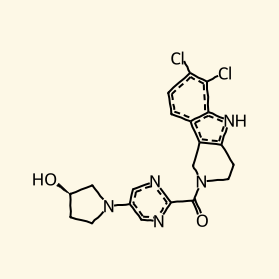 O=C(c1ncc(N2CC[C@@H](O)C2)cn1)N1CCc2[nH]c3c(Cl)c(Cl)ccc3c2C1